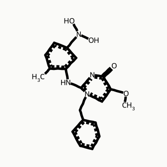 COc1cn(Cc2ccccc2)c(Nc2cc(N(O)O)ccc2C)nc1=O